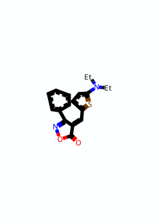 CCN(CC)c1ccc(/C=C2/C(=O)ON=C2c2ccccc2)s1